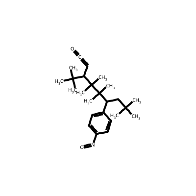 CC(C)(C)CC(c1ccc(N=O)cc1)C(C)(C)C(C)(C)C(C=C=O)C(C)(C)C